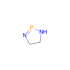 C1CNP=N1